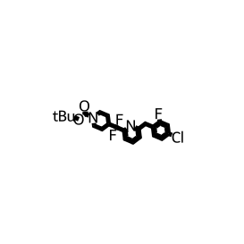 CC(C)(C)OC(=O)N1CCC(C(F)(F)c2cccc(Cc3ccc(Cl)cc3F)n2)CC1